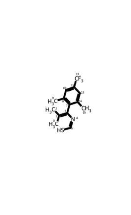 CC(C)=C(/N=C\S)c1c(C)cc(C(F)(F)F)cc1C